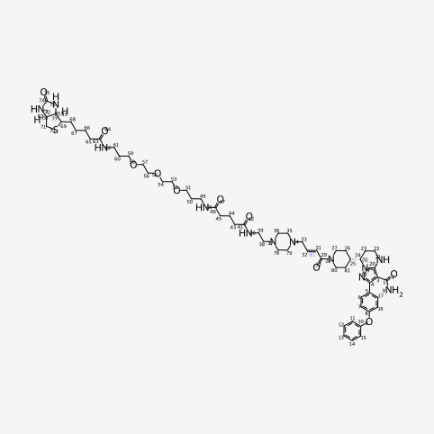 NC(=O)c1c(-c2ccc(Oc3ccccc3)cc2)nn2c1NCC[C@H]2C1CCN(C(=O)/C=C/CN2CCN(CCNC(=O)CCCC(=O)NCCCOCCOCCOCCCNC(=O)CCCCC3SC[C@H]4NC(=O)N[C@@H]34)CC2)CC1